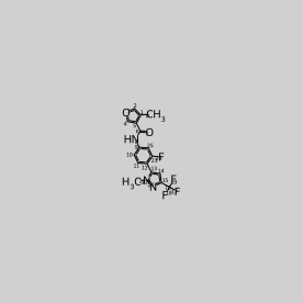 Cc1cocc1C(=O)Nc1ccc(-c2cc(C(F)(F)F)nn2C)c(F)c1